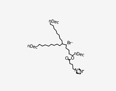 CCCCCCCCCCCCCCCCCCC(CCCCCCCCCCCCCCCCCC)CCCCC(CCCCCCCCCC)OC(=O)CCC[n+]1ccn(C)c1.[Br-]